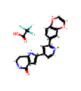 O=C(O)C(F)(F)F.O=C1NCCc2[nH]c(-c3ccnc(-c4ccc5c(c4)OC=CO5)c3)cc21